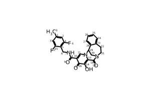 Cc1cc(F)c(CNC(=O)c2cn3c(c(O)c2=O)C(=O)N2CCc4ccccc4C3C2)c(F)c1